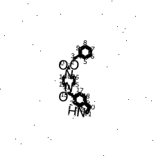 O=C(OCc1ccccc1)N1CCN(C(=O)c2ccc3cc[nH]c3c2)CC1